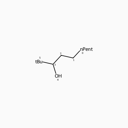 CCCCCCCC(O)C(C)(C)C